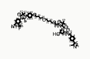 Cc1ncsc1-c1ccc([C@H](C)NC(=O)[C@@H]2C[C@@H](O)CN2C(=O)C(NC(=O)COCCCCOCCCCOc2ccc(N3C(=S)N(c4ccc(C#N)c(C(F)(F)F)c4)C(=O)C3(C)C)cc2)C(C)(C)C)cc1